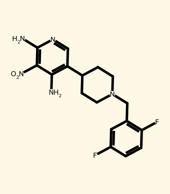 Nc1ncc(C2CCN(Cc3cc(F)ccc3F)CC2)c(N)c1[N+](=O)[O-]